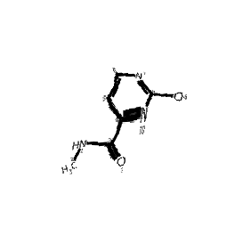 CNC(=O)c1ccnc([O])n1